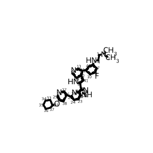 CN(C)CCNc1cc(F)cc(-c2cncc3[nH]c(-c4n[nH]c5ccc(-c6cncc(OC7CCCCC7)c6)nc45)cc23)c1